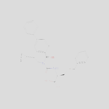 O=C(O)[C@H](CSCc1ccccc1)NC(=O)N(CCC1CC1)C(=O)c1ccc(-c2ccccc2)cc1